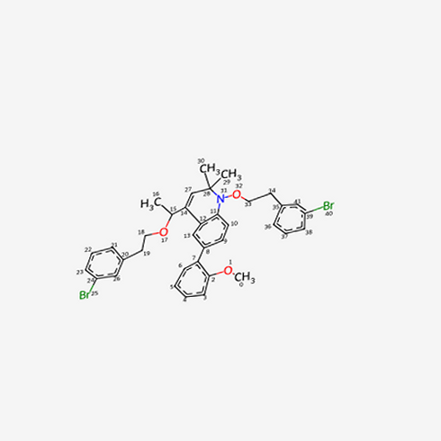 COc1ccccc1-c1ccc2c(c1)C(C(C)OCCc1cccc(Br)c1)=CC(C)(C)N2OCCc1cccc(Br)c1